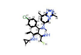 C=C/C(NC1CC1)=C(/C(=N)CF)C(c1ccc(Cl)cc1)N(C)c1cc(C)c2nnc(C)n2c1